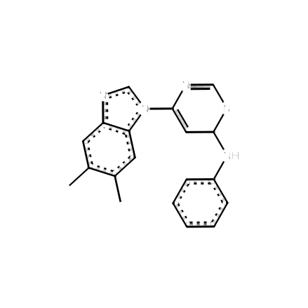 Cc1cc2ncn(C3=CC(Nc4ccccc4)NC=N3)c2cc1C